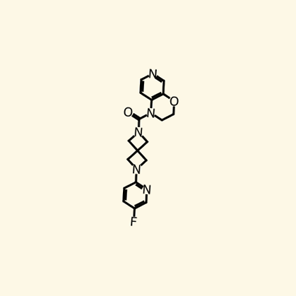 O=C(N1CC2(C1)CN(c1ccc(F)cn1)C2)N1CCOc2cnccc21